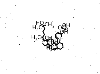 C[C@H](CCCC(C)(C)O)[C@H]1CC[C@H]2[C@@H]3CC=C4CCCC([n+]5ccccc5)[C@]4(C)[C@H]3CC[C@]12C.O=S(=O)(O)O